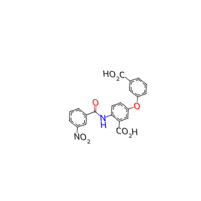 O=C(O)c1cccc(Oc2ccc(NC(=O)c3cccc([N+](=O)[O-])c3)c(C(=O)O)c2)c1